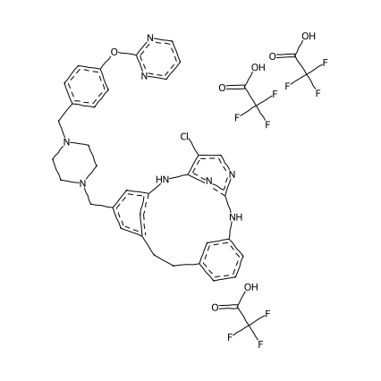 Clc1cnc2nc1Nc1cc(cc(CN3CCN(Cc4ccc(Oc5ncccn5)cc4)CC3)c1)CCc1cccc(c1)N2.O=C(O)C(F)(F)F.O=C(O)C(F)(F)F.O=C(O)C(F)(F)F